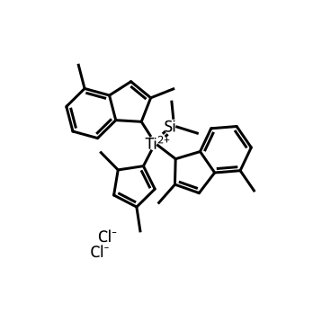 CC1=CC(C)[C]([Ti+2]([CH]2C(C)=Cc3c(C)cccc32)([CH]2C(C)=Cc3c(C)cccc32)=[Si](C)C)=C1.[Cl-].[Cl-]